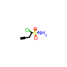 C#CCC(Cl)S(N)(=O)=O